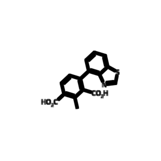 Cc1c(C(=O)O)ccc(-c2cccc3scnc23)c1C(=O)O